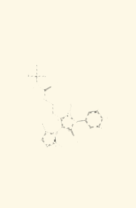 Cc1ccc(C)n1-c1c(CCNC(=O)OC(C)(C)C)n(C)n(-c2ccccc2)c1=O